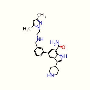 Cc1cc(C)n(CCNCc2cccc(-c3cc(C(N)=O)c4[nH]cc(C5CCNCC5)c4c3)c2)n1